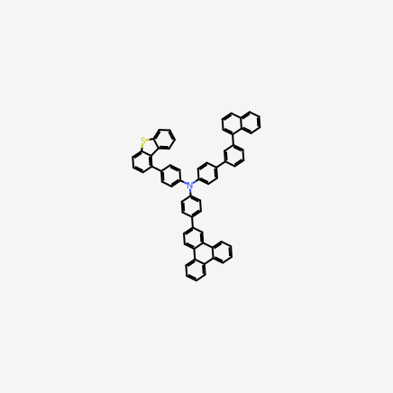 c1cc(-c2ccc(N(c3ccc(-c4ccc5c6ccccc6c6ccccc6c5c4)cc3)c3ccc(-c4cccc5sc6ccccc6c45)cc3)cc2)cc(-c2cccc3ccccc23)c1